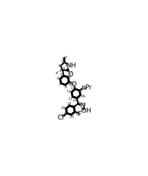 C=C1C[C@](C)(c2cccc(Oc3ccc(/C(=N/O)c4ccc(Cl)cc4F)cc3CCC)c2)C(=O)N1